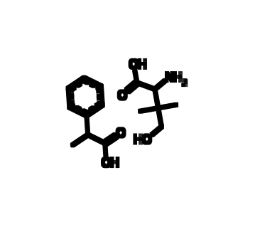 CC(C(=O)O)c1ccccc1.CC(C)(CO)C(N)C(=O)O